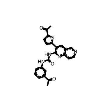 CC(=O)c1cccc(NC(=O)Nc2nc3ccncc3cc2-c2ccc(C(C)=O)s2)c1